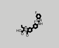 CC[C@H](C)[C@@H](C(=O)O)N1C(=O)C12CC=C(c1ccc(Nc3nc4ccc(F)cc4s3)c(F)c1)C=C2OC